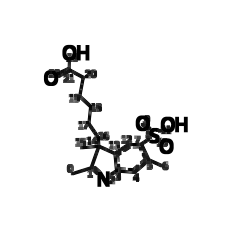 CC1=Nc2cc(C)c(S(=O)(=O)O)cc2C1(C)CCCCCC(=O)O